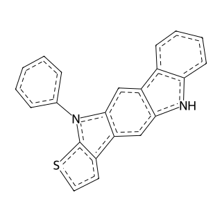 c1ccc(-n2c3cc4c(cc3c3ccsc32)[nH]c2ccccc24)cc1